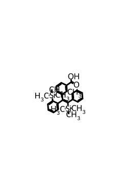 Cc1c(C(=O)O)cccc1/C(=C(\c1ccccc1)[Si](C)(C)C)c1ccccc1[Si](C)(C)C